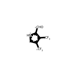 O=Cc1[nH]cc(C(F)(F)F)c1C(F)(F)F